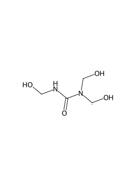 O=C(NCO)N([CH]O)CO